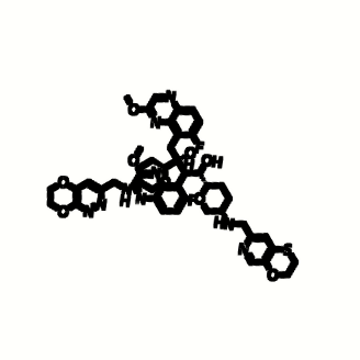 COc1cnc2ccc(F)c(C[C@@](O)(C(c3c(F)ccc4ncc(OC)nc34)C(O)[C@@H]3CC[C@@H](NCc4cc5c(cn4)OCCS5)CO3)[C@@H]3CC[C@@H](NCc4cc5c(nn4)OCCO5)CO3)c2n1